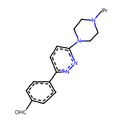 CC(C)N1CCN(c2ccc(-c3ccc(C=O)cc3)nn2)CC1